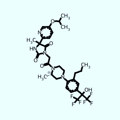 CCCc1cc(C(O)(C(F)(F)F)C(F)(F)F)ccc1N1CCN(C(=O)CN2C(=O)NC(C)(c3ccc(OC(C)C)cn3)C2=O)[C@@H](C)C1